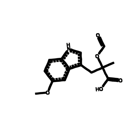 COc1ccc2[nH]cc(CC(C)(OC=O)C(=O)O)c2c1